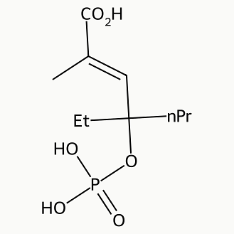 CCCC(C=C(C)C(=O)O)(CC)OP(=O)(O)O